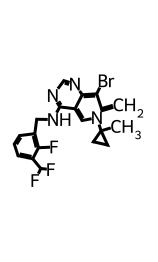 C=C1C(Br)=c2ncnc(NCc3cccc(C(F)F)c3F)c2=CN1C1(C)CC1